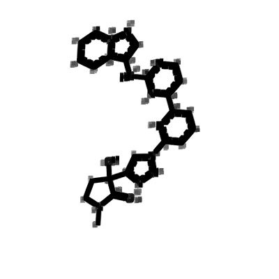 CN1CCC(O)(c2cn(-c3cccc(-c4ccnc(Nc5cnn6ccccc56)n4)n3)nn2)C1=O